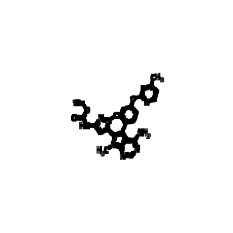 Cc1ccnc(Oc2ccc(-c3c(-c4cc(NC(=O)OC(C)(C)C)nn4C)n(C)c4ncnc(N)c34)cc2)n1